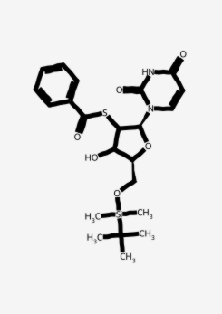 CC(C)(C)[Si](C)(C)OC[C@@H]1O[C@H](n2ccc(=O)[nH]c2=O)C(SC(=O)c2ccccc2)C1O